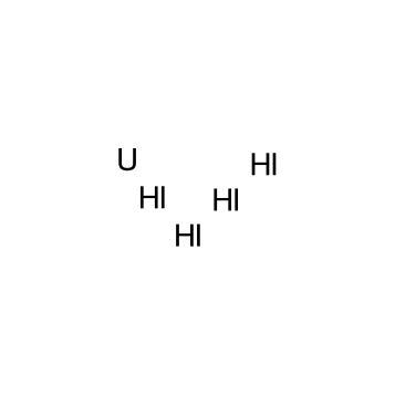 I.I.I.I.[U]